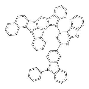 c1ccc(-n2c3ccccc3c3cc(-c4nc(-n5c6ccccc6c6cc7c8ccc9ccccc9c8n8c9ccccc9c(c65)c78)c5c(n4)oc4ccccc45)ccc32)cc1